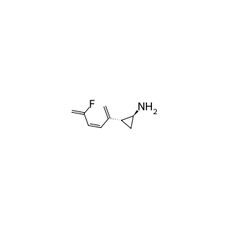 C=C(F)/C=C\C(=C)[C@H]1C[C@@H]1N